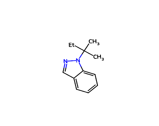 CCC(C)(C)n1ncc2ccccc21